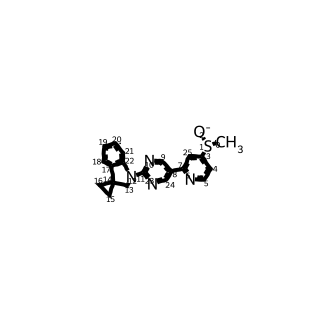 C[S+]([O-])c1ccnc(-c2cnc(N3CC4(CC4)c4cc[c]cc43)nc2)c1